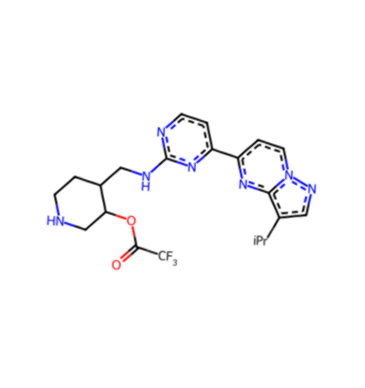 CC(C)c1cnn2ccc(-c3ccnc(NCC4CCNCC4OC(=O)C(F)(F)F)n3)nc12